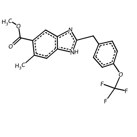 COC(=O)c1cc2nc(Cc3ccc(OC(F)(F)F)cc3)[nH]c2cc1C